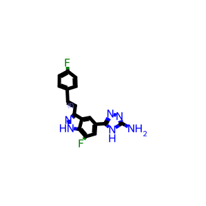 Nc1nnc(-c2cc(F)c3[nH]nc(/C=C/c4ccc(F)cc4)c3c2)[nH]1